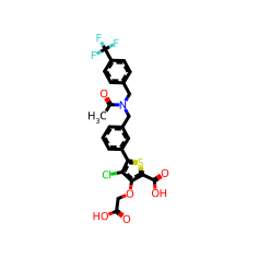 CC(=O)N(Cc1ccc(C(F)(F)F)cc1)Cc1cccc(-c2sc(C(=O)O)c(OCC(=O)O)c2Cl)c1